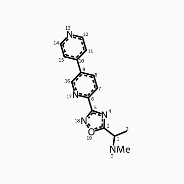 CNC(C)c1nc(-c2ccc(-c3ccncc3)cn2)no1